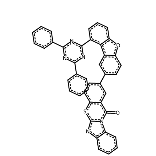 O=c1c2cc(-c3ccc4oc5cccc(-c6nc(-c7ccccc7)nc(-c7ccccc7)n6)c5c4c3)ccc2sc2nc3ccccc3n12